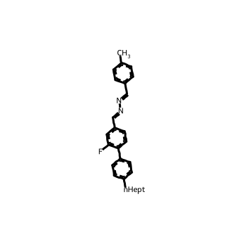 CCCCCCCc1ccc(-c2ccc(C=NN=Cc3ccc(C)cc3)cc2F)cc1